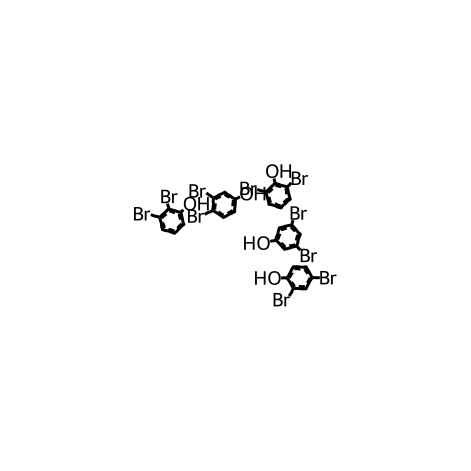 Oc1c(Br)cccc1Br.Oc1cc(Br)cc(Br)c1.Oc1ccc(Br)c(Br)c1.Oc1ccc(Br)cc1Br.Oc1cccc(Br)c1Br